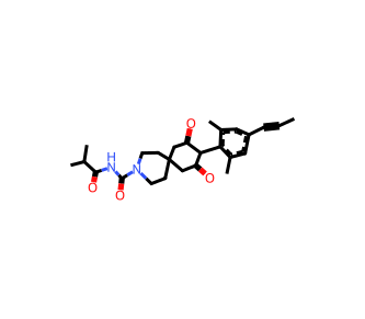 CC#Cc1cc(C)c(C2C(=O)CC3(CCN(C(=O)NC(=O)C(C)C)CC3)CC2=O)c(C)c1